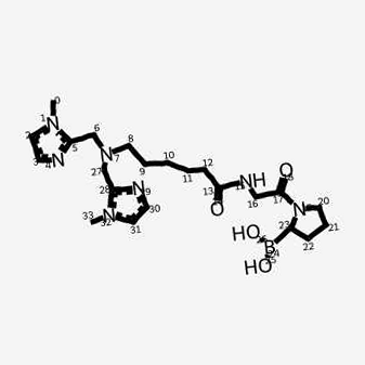 Cn1ccnc1CN(CCCCCC(=O)NCC(=O)N1CCCC1B(O)O)Cc1nccn1C